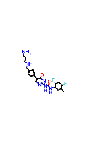 Cc1cc(NC(=O)Nc2nc(=O)c(-c3ccc(CNCCCN)cc3)c[nH]2)c(F)cc1F